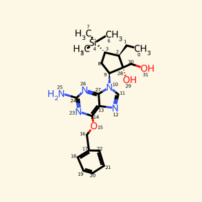 CC[C@@H]1[C@@H]([Si](C)(C)C)C[C@H](n2cnc3c(OCc4ccccc4)nc(N)nc32)[C@]1(O)CO